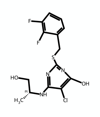 C[C@H](CO)Nc1nc(SCc2cccc(F)c2F)nc(O)c1Cl